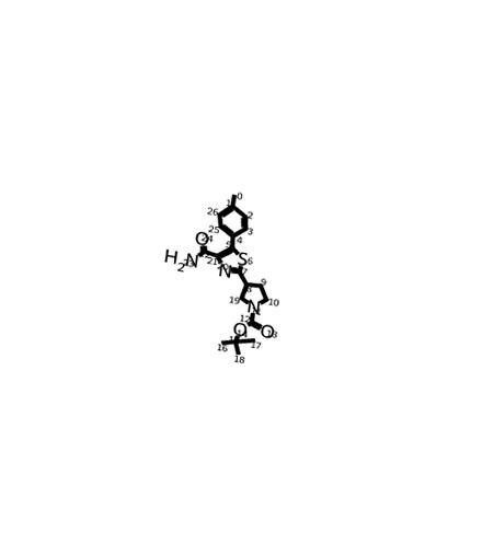 Cc1ccc(-c2sc(C3CCN(C(=O)OC(C)(C)C)C3)nc2C(N)=O)cc1